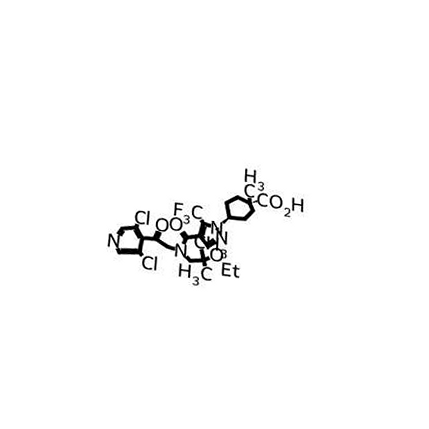 CCOC(C)(C)CN(CC(=O)c1c(Cl)cncc1Cl)C(=O)c1cnn([C@H]2CC[C@](C)(C(=O)O)CC2)c1C(F)(F)F